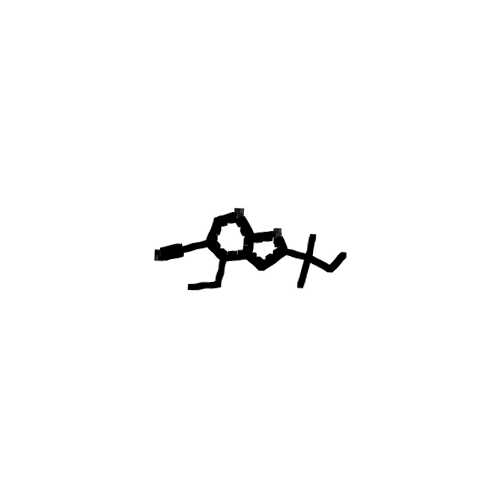 CCc1c(C#N)cnc2sc(C(C)(C)CC)cc12